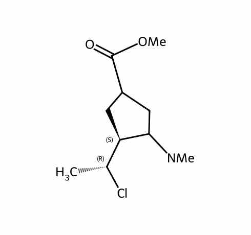 CNC1CC(C(=O)OC)C[C@@H]1[C@@H](C)Cl